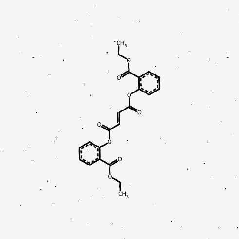 CCOC(=O)c1ccccc1OC(=O)/C=C/C(=O)Oc1ccccc1C(=O)OCC